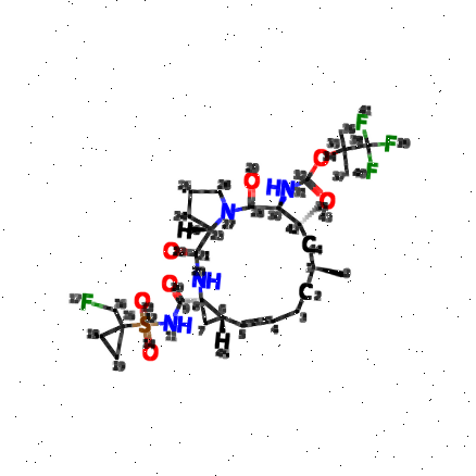 C[C@H]1CC/C=C\[C@@H]2C[C@@]2(C(=O)NS(=O)(=O)C2(CF)CC2)NC(=O)[C@@H]2C[CH]CN2C(=O)[C@@H](NC(=O)OC(C)(C)C(F)(F)F)[C@H](C)C1